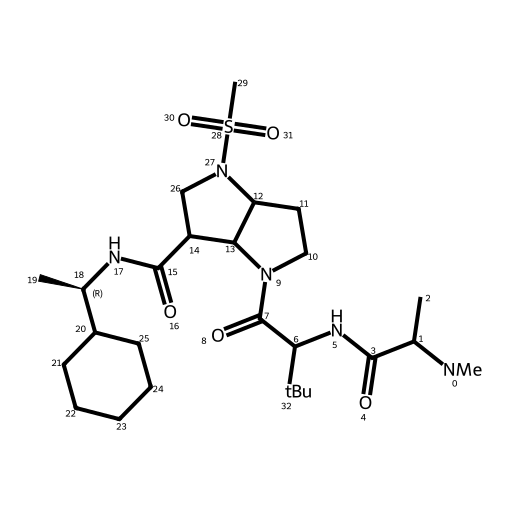 CNC(C)C(=O)NC(C(=O)N1CCC2C1C(C(=O)N[C@H](C)C1CCCCC1)CN2S(C)(=O)=O)C(C)(C)C